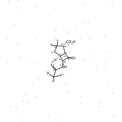 CC(F)(F)C(=S)N[C@@H]1C(=O)N2[C@@H]1SC(C)(C)[C@@H]2C(=O)O